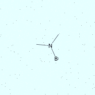 [B]N(C)C